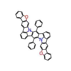 c1ccc(-c2c3c4cccc5c6cc7c(cc6n(c3c(-c3ccccc3)c3c6cccc8c9cc%10c(cc9n(c23)c86)oc2ccccc2%10)c54)oc2ccccc27)cc1